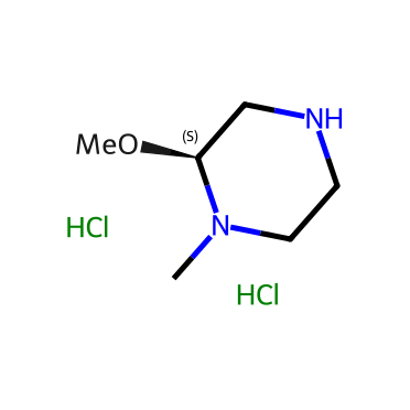 CO[C@H]1CNCCN1C.Cl.Cl